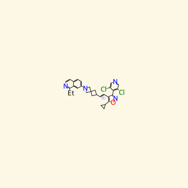 CCc1nccc2ccc(N3CC4(CC(/C=C/c5c(-c6c(Cl)cncc6Cl)noc5C5CC5)C4)C3)cc12